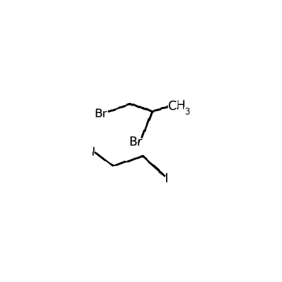 CC(Br)CBr.ICCI